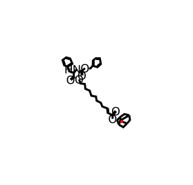 O=C(/C=C/CCCCCCCCCOC(=O)C(Cc1ccccc1)NC(=O)OCc1ccccc1)OC1C2CC3CC(C2)CC1C3